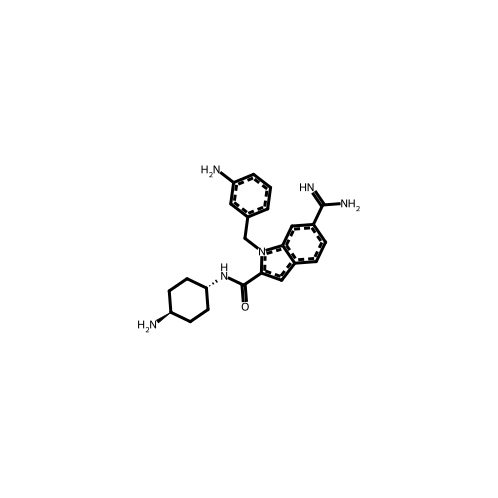 N=C(N)c1ccc2cc(C(=O)N[C@H]3CC[C@H](N)CC3)n(Cc3cccc(N)c3)c2c1